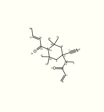 C=CC(=O)N(C)C1(C#N)CC(C)(C)N(C(=O)C=CC)C(C)(C)C1